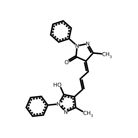 CC1=NN(c2ccccc2)C(=O)C1=CC=Cc1c(C)nn(-c2ccccc2)c1O